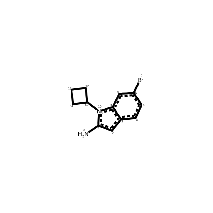 Nc1cc2ccc(Br)cc2n1C1CCC1